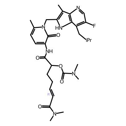 Cc1c(Cn2c(C)ccc(NC(=O)C(CC/C=C/C(=O)N(C)C)OC(=O)N(C)C)c2=O)[nH]c2c(CC(C)C)c(F)cnc12